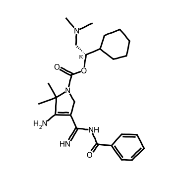 CN(C)C[C@@H](OC(=O)N1CC(C(=N)NC(=O)c2ccccc2)=C(N)C1(C)C)C1CCCCC1